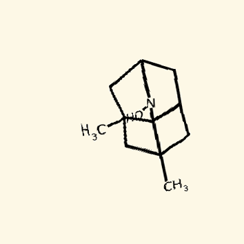 CC12CC3CC(C1)N(O)C(C)(C3)C2